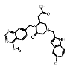 Nc1ncnc2cc(CN3C(=O)CN(Cc4cc5cc(Cl)ccc5[nH]4)CC3CC(=O)O)ccc12